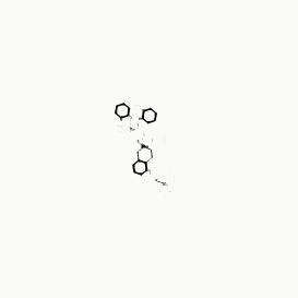 O=C(O)COc1cccc2c1CC[C@](O)(COC(=O)N(c1ccccc1F)c1ccccc1F)C2